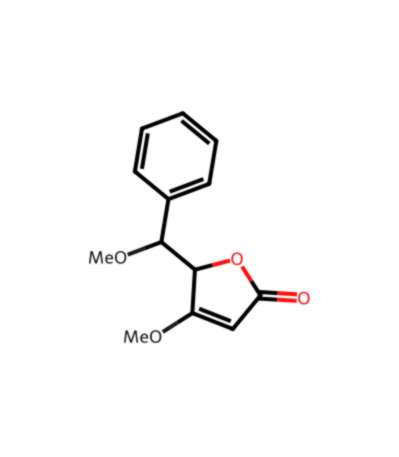 COC1=CC(=O)OC1C(OC)c1ccccc1